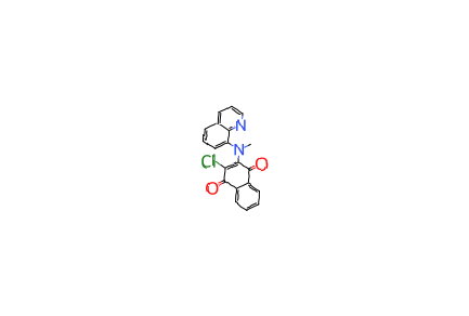 CN(C1=C(Cl)C(=O)c2ccccc2C1=O)c1cccc2cccnc12